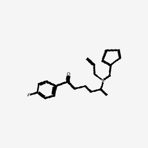 C=CCN(CC1CCCC1)C(C)CCCC(=O)c1ccc(F)cc1